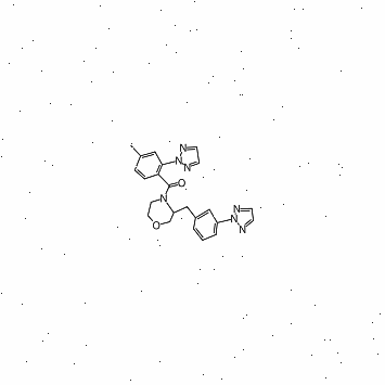 Cc1ccc(C(=O)N2CCOCC2Cc2cccc(-n3nccn3)c2)c(-n2nccn2)c1